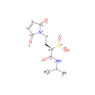 CC(C)C(C)NC(=O)[C@@H](CCN1C(=O)C=CC1=O)S(=O)O